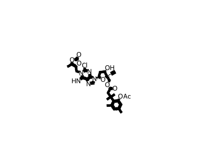 C#C[C@]1(COC(=O)CC(C)(C)c2c(C)cc(C)cc2OC(C)=O)O[C@@H](n2cnc3c(=N)n(Cc4oc(=O)oc4C)c(Cl)nc32)C[C@@H]1O